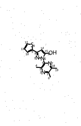 Cc1nc(C)c(-n2nc(-c3cccs3)cc2O)nc1C